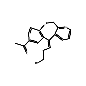 CC(=O)c1ccc2c(c1)C(=CCCBr)c1cccnc1CO2